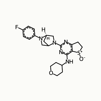 [O-][S+]1CCc2nc(N3C[C@H]4CC3CN4c3ccc(F)cc3)nc(NC3CCOCC3)c21